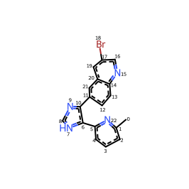 Cc1cccc(-c2[nH]cnc2-c2ccc3ncc(Br)cc3c2)n1